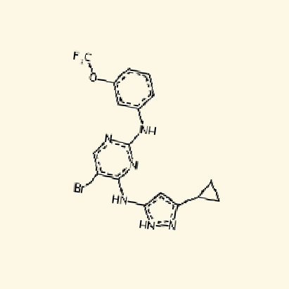 FC(F)(F)Oc1cccc(Nc2ncc(Br)c(Nc3cc(C4CC4)n[nH]3)n2)c1